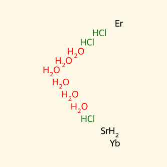 Cl.Cl.Cl.O.O.O.O.O.O.[Er].[SrH2].[Yb]